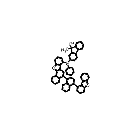 CC1(C)c2ccccc2-c2ccc(N(c3ccccc3)c3cccc4oc5c6ccccc6c(-c6ccc(-c7cccc8sc9ccccc9c78)c7ccccc67)cc5c34)cc21